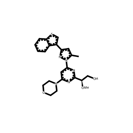 CO[C@H](CO)c1nc(N2CCOCC2)cc(-n2nc(-c3csc4ccccc34)cc2C)n1